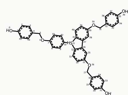 Oc1ccc(COc2ccc([SH]3c4ccc(OCc5ccc(O)cc5)cc4-c4cc(OCc5ccc(O)cc5)ccc43)cc2)cc1